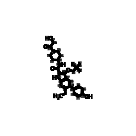 CCc1nc2[nH]c(C(=O)NC3CCN(C(=O)CO)CC3)c(OCC(F)(F)F)c2cc1-c1ccc(O)cc1